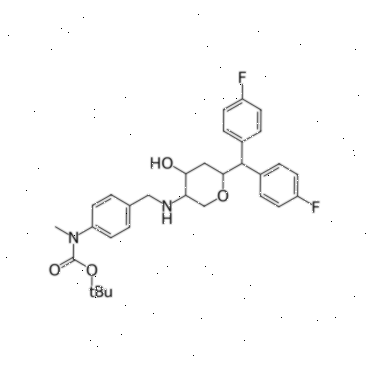 CN(C(=O)OC(C)(C)C)c1ccc(CNC2COC(C(c3ccc(F)cc3)c3ccc(F)cc3)CC2O)cc1